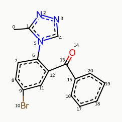 Cc1nncn1-c1ccc(Br)cc1C(=O)c1ccccc1